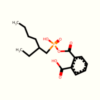 CCCCC(CC)CP(=O)(O)OC(=O)c1ccccc1C(=O)O